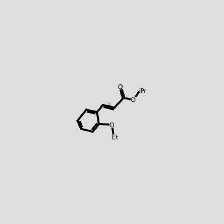 CCOc1ccccc1/C=C/C(=O)OC(C)C